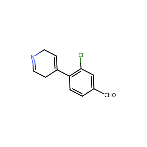 O=Cc1ccc(C2=CCN=CC2)c(Cl)c1